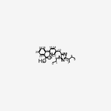 CCCn1nc(C(C)CC)nc1Cc1ccc(-c2ccccc2C(=O)O)nc1